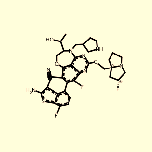 CC(O)C1COc2c(Cl)c(-c3ccc(F)c4sc(N)c(C#N)c34)c(F)c3nc(OC[C@@]45CCCN4C[C@H](F)C5)nc(c23)N1CC1CCNC1